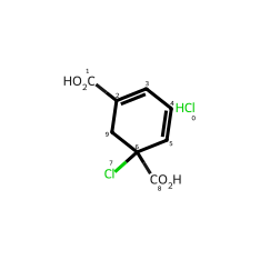 Cl.O=C(O)C1=CC=CC(Cl)(C(=O)O)C1